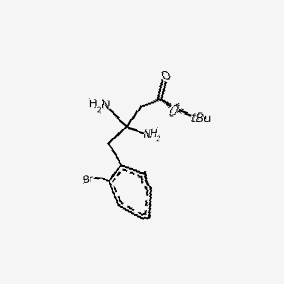 CC(C)(C)OC(=O)CC(N)(N)Cc1ccccc1Br